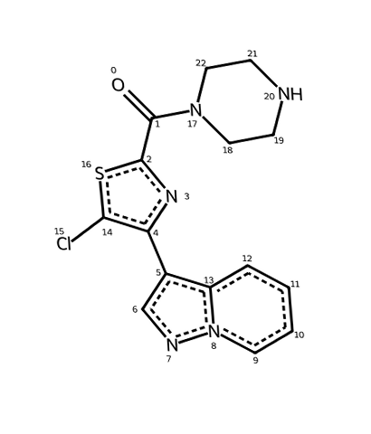 O=C(c1nc(-c2cnn3ccccc23)c(Cl)s1)N1CCNCC1